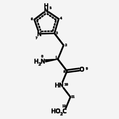 N[C@@H](Cc1c[nH]cn1)C(=O)NCC(=O)O